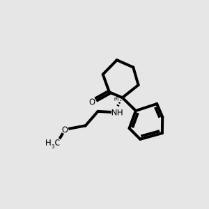 COCCN[C@@]1(c2ccccc2)CCCCC1=O